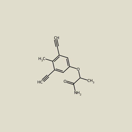 C#Cc1cc(OC(C)C(N)=O)cc(C#C)c1C